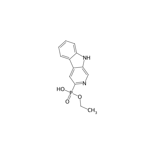 CCOP(=O)(O)c1cc2c(cn1)[nH]c1ccccc12